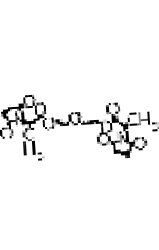 CC(C(=O)OCCOCCOC(=O)C(C)N1C(=O)C=CC1=O)N1C(=O)C=CC1=O